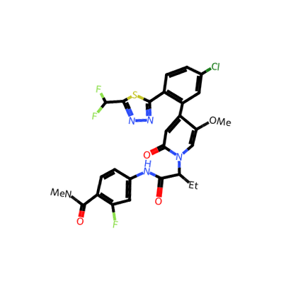 CCC(C(=O)Nc1ccc(C(=O)NC)c(F)c1)n1cc(OC)c(-c2cc(Cl)ccc2-c2nnc(C(F)F)s2)cc1=O